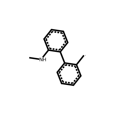 [CH2]c1ccccc1-c1ccccc1NC